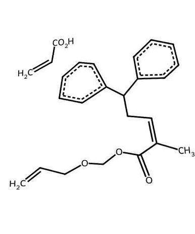 C=CC(=O)O.C=CCOCOC(=O)C(C)=CCC(c1ccccc1)c1ccccc1